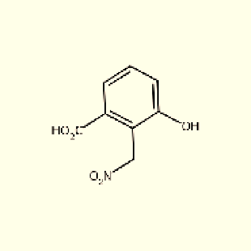 O=C(O)c1cccc(O)c1C[N+](=O)[O-]